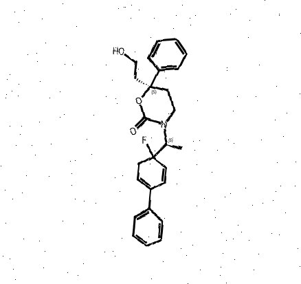 C[C@H](N1CC[C@](CCO)(c2ccccc2)OC1=O)C1(F)C=CC(c2ccccc2)=CC1